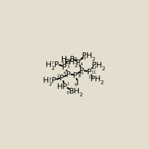 BPP(P)P(P(P)P)P(I)P(P(P)P)P(P)P